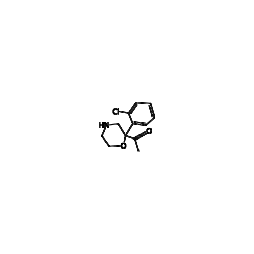 CC(=O)C1(c2ccccc2Cl)CNCCO1